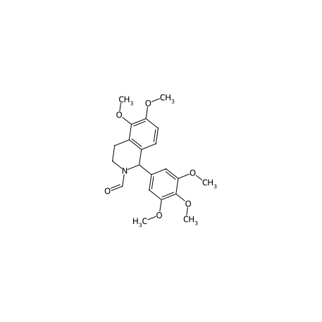 COc1cc(C2c3ccc(OC)c(OC)c3CCN2C=O)cc(OC)c1OC